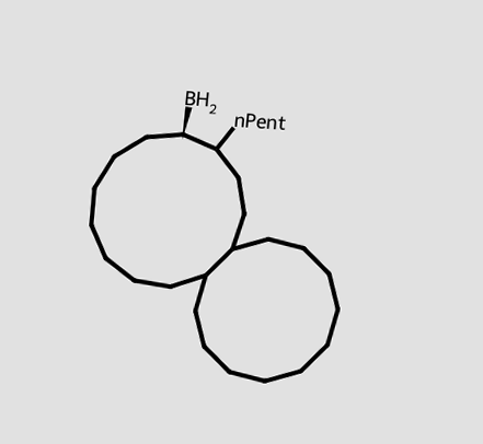 B[C@@H]1CCCCCCCC2CCCCCCCCCCC2CCC1CCCCC